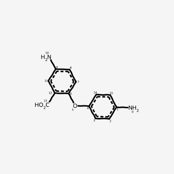 Nc1ccc(Oc2ccc(N)cc2C(=O)O)cc1